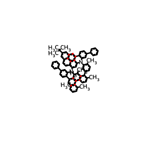 Cc1ccc(-c2c(C)cccc2C)cc1N(c1cc(-c2ccccc2)ccc1-c1ccccc1)c1cc(N(c2cc(-c3c(C)cccc3C)ccc2C)c2cc(-c3ccccc3)ccc2-c2ccccc2)c2ccc3cc(C(C)(C)C)cc4ccc1c2c43